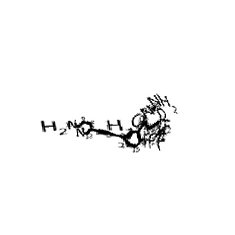 C[C@@]1(c2cc(C#Cc3ccc(N)nc3)ccc2F)C[C@@H](C(F)(F)F)OC(N)=N1